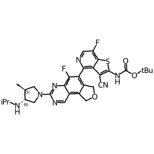 CC(C)N[C@H]1CN(c2ncc3c4c(c(-c5ncc(F)c6sc(NC(=O)OC(C)(C)C)c(C#N)c56)c(F)c3n2)COC4)C[C@@H]1C